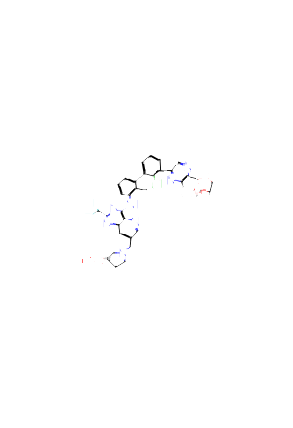 COc1nc(-c2cccc(-c3cccc(Nc4nc(C(F)F)nc5cc(CN6CC[C@H](O)C6)cnc45)c3C)c2Cl)cnc1C1OCCO1